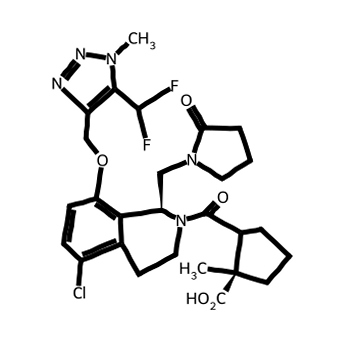 Cn1nnc(COc2ccc(Cl)c3c2[C@@H](CN2CCCC2=O)N(C(=O)C2CCC[C@@]2(C)C(=O)O)CC3)c1C(F)F